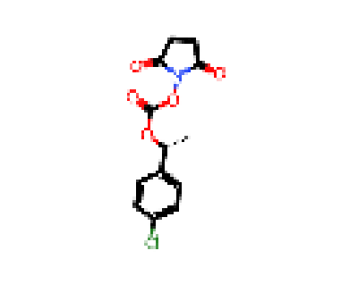 C[C@@H](OC(=O)ON1C(=O)CCC1=O)c1ccc(Cl)cc1